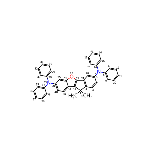 CC1(C)c2ccc(N(c3ccccc3)c3ccccc3)cc2-c2oc3cc(N(c4ccccc4)c4ccccc4)ccc3c21